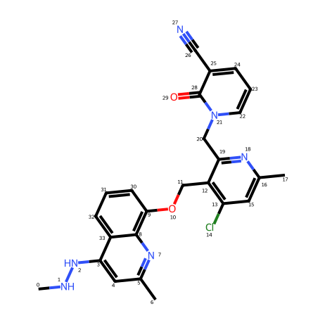 CNNc1cc(C)nc2c(OCc3c(Cl)cc(C)nc3Cn3cccc(C#N)c3=O)cccc12